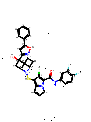 O=C(Nc1ccc(F)c(F)c1)c1c(Cl)c(SN2C3CCC34C2CC4(O)c2cc(-c3ccccc3)on2)c2n1CC=C2